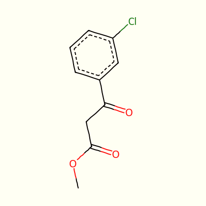 COC(=O)CC(=O)c1cccc(Cl)c1